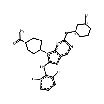 NC(=O)[C@H]1CC[C@@H](n2c(Nc3c(F)cccc3Cl)nc3cnc(N[C@@H]4CCC[C@H](O)C4)nc32)CC1